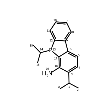 CC(C)c1ccc2c3ccccc3p(C(C)C)c2c1N